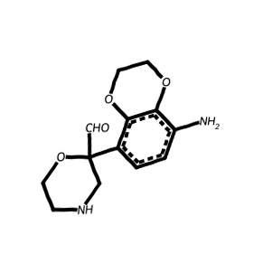 Nc1ccc(C2(C=O)CNCCO2)c2c1OCCO2